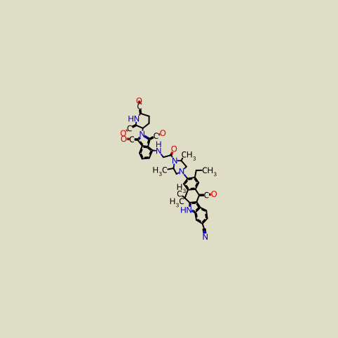 CCc1cc2c(cc1N1CC(C)N(C(=O)CNc3cccc4c(=C=O)n(C5CCC(=C=O)NC5=C=O)c(=C=O)c34)C(C)C1)C(C)(C)c1[nH]c3cc(C#N)ccc3c1C2=C=O